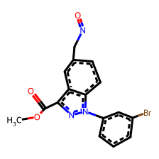 COC(=O)c1nn(-c2cccc(Br)c2)c2ccc(CN=O)cc12